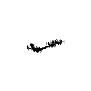 Cc1ccc(F)c(NC(=O)Nc2ccc(-c3cccc4c3c(N)nn4C(=O)CCCCCCCCCCCNC(=O)C[C@H](N)C(=O)CC[C@@H](CCC(=O)O)C(O)O)cc2)c1